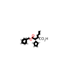 C=CC[C@H](C(=O)O)[C@@H](C(=O)OCc1ccccc1)C1CCCC1